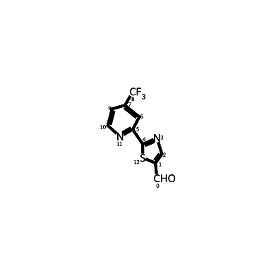 O=Cc1cnc(-c2cc(C(F)(F)F)ccn2)s1